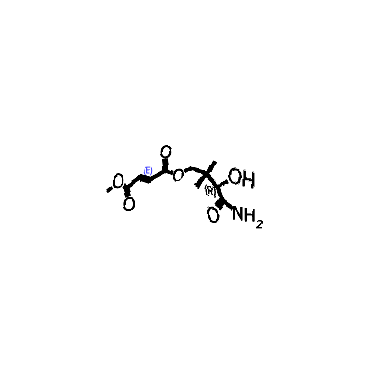 COC(=O)/C=C/C(=O)OCC(C)(C)[C@@H](O)C(N)=O